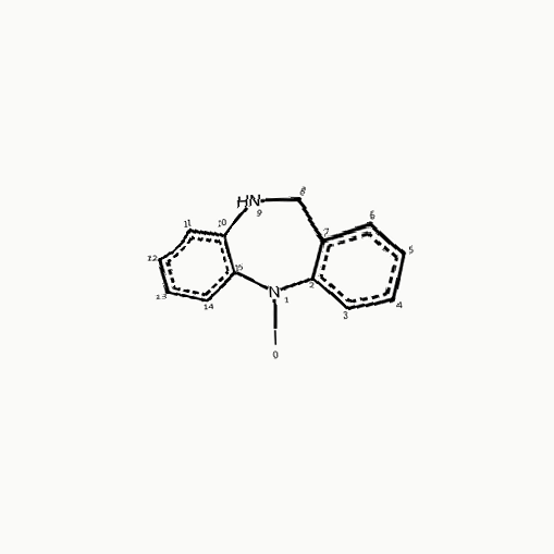 IN1c2ccccc2CNc2ccccc21